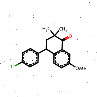 COc1ccc2c(c1)C(=O)C(C)(C)CC2c1ccc(Cl)cc1